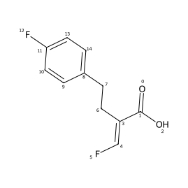 O=C(O)/C(=C/F)CCc1ccc(F)cc1